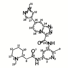 Cc1ncc(NC(=O)CC2CCCCN2C)cc1NC(=O)c1nnc2cc(-c3cnn(C)c3)ccn12